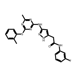 Cc1nc(Nc2cc(CC(=O)Nc3cccc(F)c3)[nH]n2)nc(Sc2ccccc2C)n1